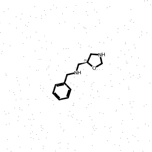 c1ccc(CNC[C@H]2CNCO2)cc1